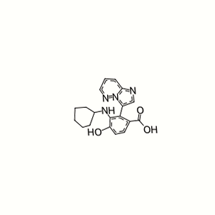 O=C(O)c1ccc(O)c(NC2CCCCC2)c1-c1cnc2cccnn12